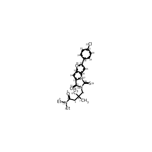 CCN(CC)C(=O)CC(C)(C)CN1C(=O)c2cc3oc(-c4ccc(Cl)cc4)cc3n2C1=S